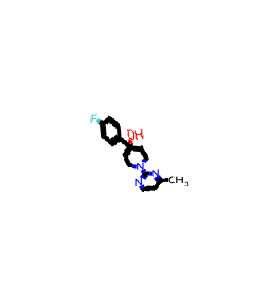 Cc1ccnc(N2CCC(O)(c3ccc(F)cc3)CC2)n1